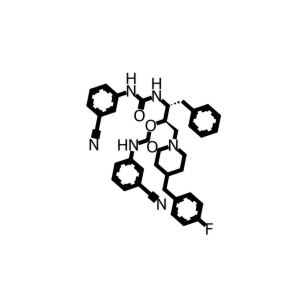 N#Cc1cccc(NC(=O)N[C@H](Cc2ccccc2)[C@@H](CN2CCC(Cc3ccc(F)cc3)CC2)OC(=O)Nc2cccc(C#N)c2)c1